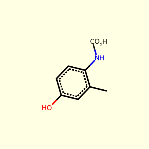 Cc1cc(O)ccc1NC(=O)O